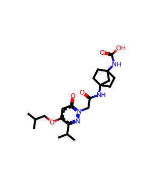 CC(C)COc1cc(=O)n(CC(=O)NC23CCC(NC(=O)O)(CC2)C3)nc1C(C)C